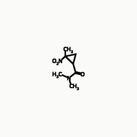 CN(C)C(=O)C1CC1(C)[N+](=O)[O-]